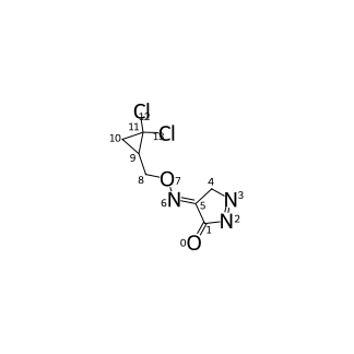 O=C1N=NCC1=NOCC1CC1(Cl)Cl